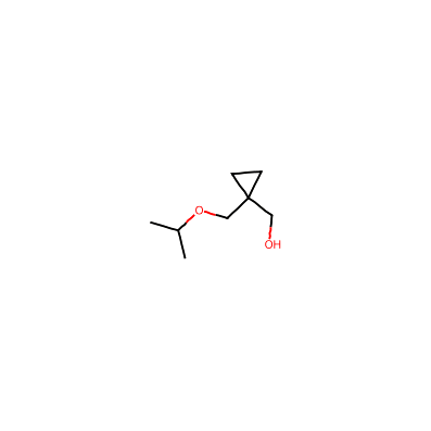 CC(C)OCC1(CO)CC1